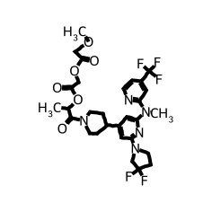 COCC(=O)OCC(=O)OC(C)C(=O)N1CCC(c2cc(N3CCC(F)(F)C3)nc(N(C)c3cc(C(F)(F)F)ccn3)c2)CC1